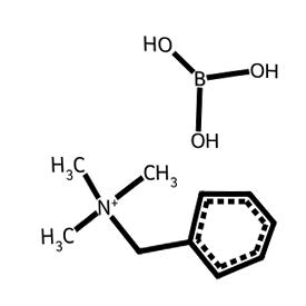 C[N+](C)(C)Cc1ccccc1.OB(O)O